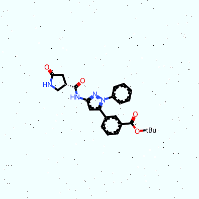 CC(C)(C)OC(=O)c1cccc(-c2cc(NC(=O)[C@@H]3CNC(=O)C3)nn2-c2ccccc2)c1